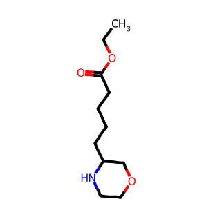 CCOC(=O)CCCCC1COCCN1